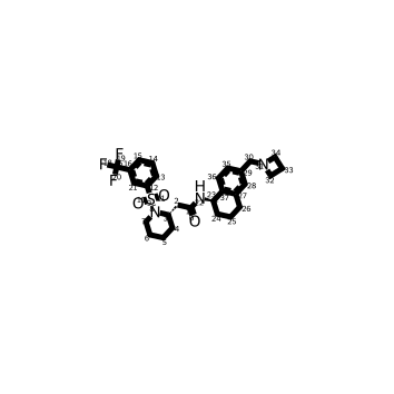 O=C(C[C@@H]1CCCCN1S(=O)(=O)c1cccc(C(F)(F)F)c1)N[C@@H]1CCCc2cc(CN3CCC3)ccc21